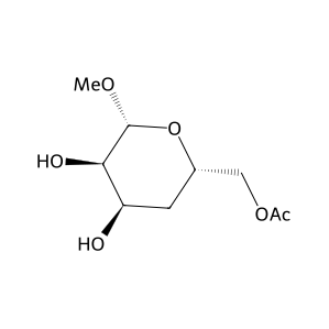 CO[C@@H]1O[C@H](COC(C)=O)C[C@@H](O)[C@H]1O